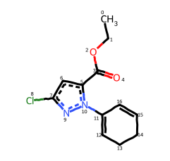 CCOC(=O)c1cc(Cl)nn1C1=CCCC=C1